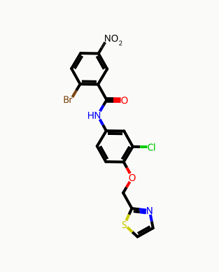 O=C(Nc1ccc(OCc2nccs2)c(Cl)c1)c1cc([N+](=O)[O-])ccc1Br